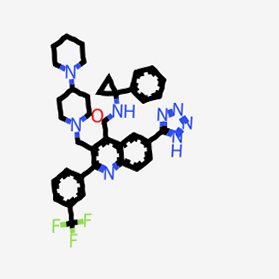 O=C(NC1(c2ccccc2)CC1)c1c(CN2CCC(N3CCCCC3)CC2)c(-c2cccc(C(F)(F)F)c2)nc2ccc(-c3nnn[nH]3)cc12